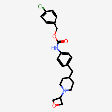 O=C(Nc1ccc(CC2CCN(C3COC3)CC2)cc1)OCc1ccc(Cl)cc1